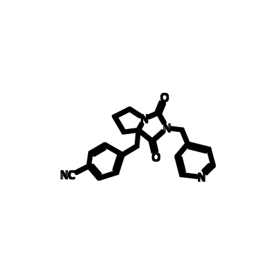 N#Cc1ccc(CC23CCCN2C(=O)N(Cc2ccncc2)C3=O)cc1